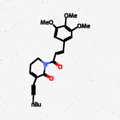 CCCCC#CC1=CCCN(C(=O)/C=C/c2cc(OC)c(OC)c(OC)c2)C1=O